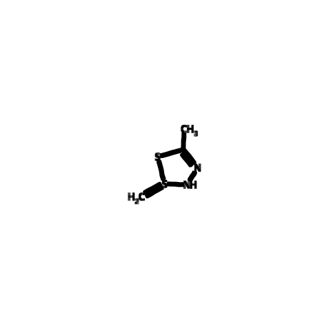 C=S1NN=C(C)S1